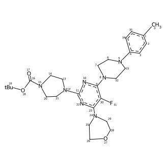 Cc1ccc(N2CCN(c3nc(N4CCN(C(=O)OC(C)(C)C)CC4)nc(N4CCOCC4)c3F)CC2)cc1